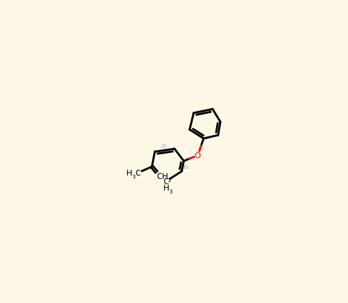 C=C(C)/C=C\C(=C/C)Oc1ccccc1